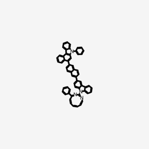 c1cccc(-c2ccccc2)nc(-n2c3ccccc3c3cc(-c4ccc5cc(-c6cc7c(c8ccccc68)c6ccccc6n7-c6ccccc6)ccc5c4)ccc32)ncc1